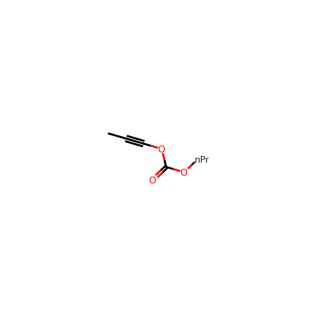 CC#COC(=O)OCCC